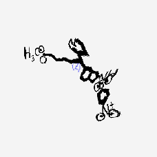 COC(=O)CCC/C=C(\c1cccnc1)c1ccc2c(c1)CC(NS(=O)(=O)c1ccc([N+](=O)[O-])cc1)C2